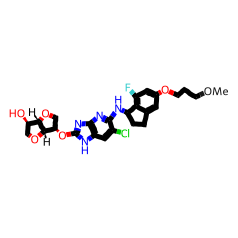 COCCCOc1cc(F)c2c(c1)CCC2Nc1nc2nc(O[C@@H]3CO[C@H]4[C@@H]3OC[C@H]4O)[nH]c2cc1Cl